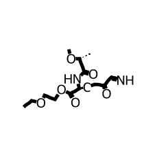 CCOCCOC(=O)[C@H](CCC(=O)C=N)NC(=O)[C@@H](C)OC